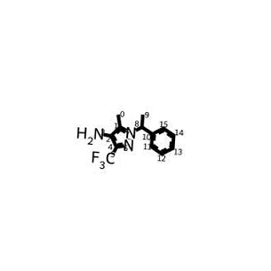 Cc1c(N)c(C(F)(F)F)nn1C(C)c1ccccc1